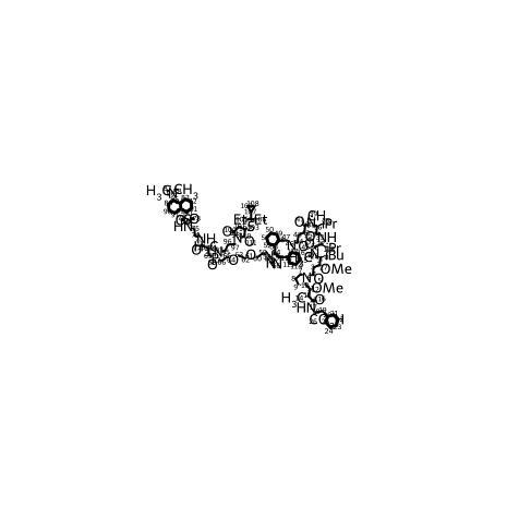 CC[C@H](C)[C@@H]([C@@H](CC(=O)N1CCC[C@H]1[C@H](OC)[C@@H](C)C(=O)N[C@@H](Cc1ccccc1)C(=O)O)OC)N(C)C(=O)[C@@H](NC(=O)[C@H](C(C)C)N(C)C(=O)CCC(=O)N1Cc2ccccc2-c2c(nnn2CCOCCOCCP(=O)(CCC(=O)NCCNS(=O)(=O)c2cccc3c(N(C)C)cccc23)N(C)CCCN2C(=O)CC(SC(CC)(CC)C3CC3)C2=O)-c2ccccc21)C(C)C